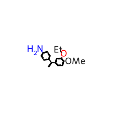 C=C(c1ccc(N)cc1)c1ccc(OC)c(OCC)c1